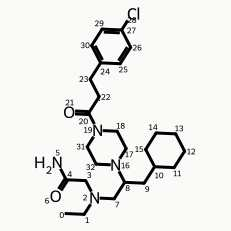 CCN(CC(N)=O)CC(CC1CCCCC1)N1CCN(C(=O)[CH]Cc2ccc(Cl)cc2)CC1